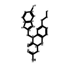 CCCc1ccc2c(c1)N(Cc1nc3cc(F)ccc3s1)C(=O)C(CC(=O)O)O2